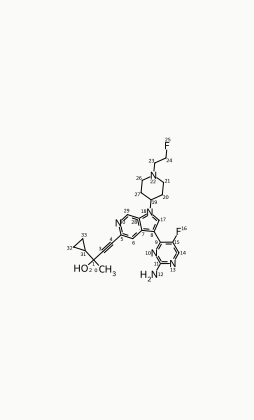 CC(O)(C#Cc1cc2c(-c3nc(N)ncc3F)cn(C3CCN(CCF)CC3)c2cn1)C1CC1